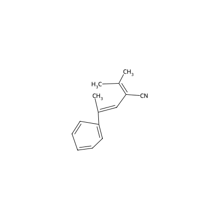 CC(C)=C(C#N)/C=C(\C)c1ccccc1